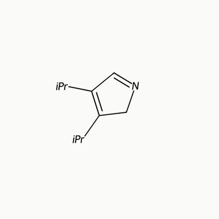 CC(C)C1=C(C(C)C)CN=C1